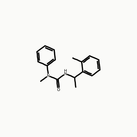 Cc1ccccc1C(C)NC(=O)N(C)c1ccccc1